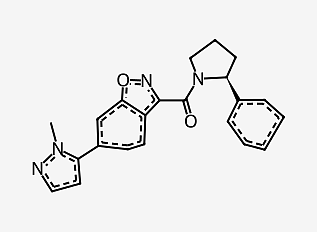 Cn1nccc1-c1ccc2c(C(=O)N3CCC[C@H]3c3ccccc3)noc2c1